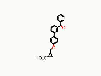 O=C(c1ccccc1)c1cccc(-c2ccc(OCC3CC3C(=O)O)cc2)c1